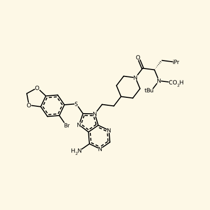 CC(C)C[C@@H](C(=O)N1CCC(CCn2c(Sc3cc4c(cc3Br)OCO4)nc3c(N)ncnc32)CC1)N(C(=O)O)C(C)(C)C